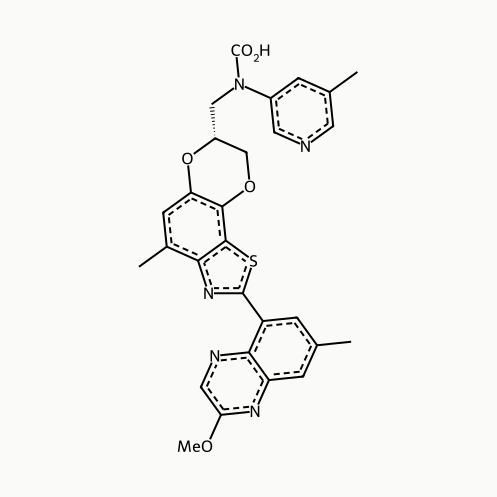 COc1cnc2c(-c3nc4c(C)cc5c(c4s3)OC[C@@H](CN(C(=O)O)c3cncc(C)c3)O5)cc(C)cc2n1